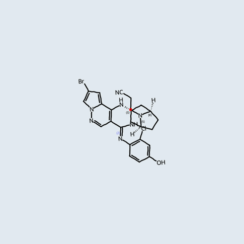 N#CCCN1[C@@H]2CC[C@H]1C[C@H](Nc1c(/C(N)=N/c3ccc(O)cc3Cl)cnn3cc(Br)cc13)C2